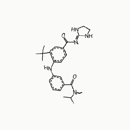 CC(C)N(C)C(=O)c1cccc(Nc2ccc(C(=O)N=C3NCCN3)cc2C(C)(C)C)c1